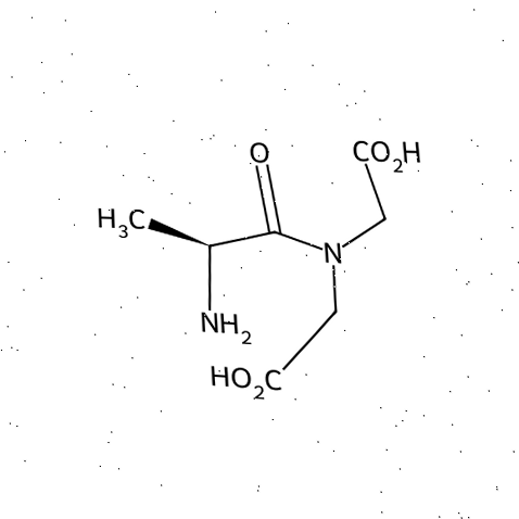 C[C@H](N)C(=O)N(CC(=O)O)CC(=O)O